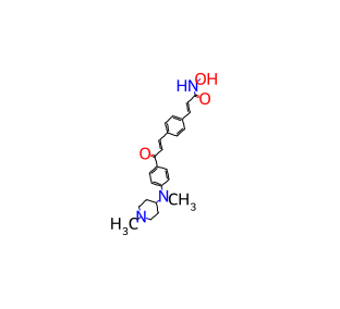 CN1CCC(N(C)c2ccc(C(=O)/C=C/c3ccc(/C=C/C(=O)NO)cc3)cc2)CC1